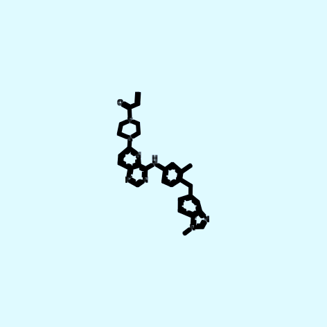 C=CC(=O)N1CCN(c2ccc3ncnc(Nc4ccc(Cc5ccc6c(c5)ncn6C)c(C)c4)c3n2)CC1